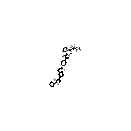 CC(C)(C)OC(=O)N1CCC[C@@H]1c1ncc(C2CCN(c3ccc4cc(-c5cnc(C6CCCC6)[nH]5)ccc4n3)CC2)[nH]1